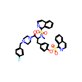 CN(C(Cc1ccc(OS(=O)(=O)c2nccc3ccccc23)cc1)C(=O)N1CCN(Cc2ccc(F)cc2)CC1)S(=O)(=O)c1nccc2ccccc12